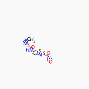 Cn1ccnc1SCC(=O)Nc1ccc2nc(SCC(=O)N3CCOCC3)sc2c1